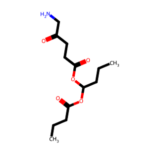 CCCC(=O)OC(CCC)OC(=O)CCC(=O)CN